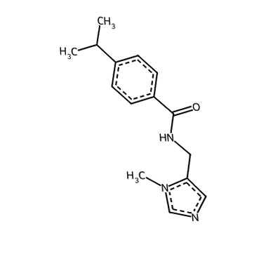 CC(C)c1ccc(C(=O)NCc2cncn2C)cc1